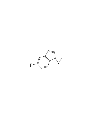 Fc1ccc2c(c1)C=CC21CC1